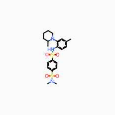 Cc1ccc(NS(=O)(=O)c2ccc(S(=O)(=O)N(C)C)cc2)c(N2CCCCC2C)c1